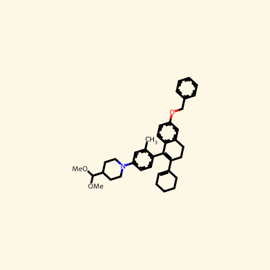 COC(OC)C1CCN(c2ccc(C3=C(C4=CCCCC4)CCc4cc(OCc5ccccc5)ccc43)c(C)c2)CC1